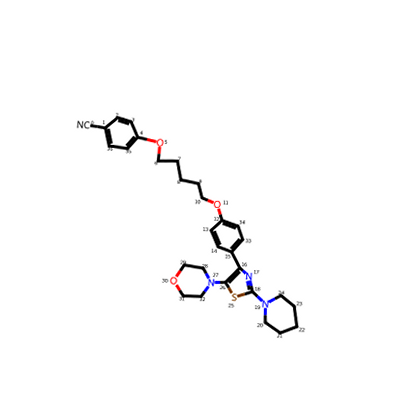 N#Cc1ccc(OCCCCCOc2ccc(-c3nc(N4CCCCC4)sc3N3CCOCC3)cc2)cc1